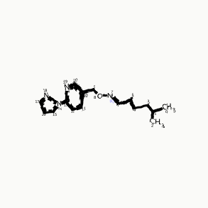 CC(C)CCC/C=N/OCc1ccc(-n2cccn2)nc1